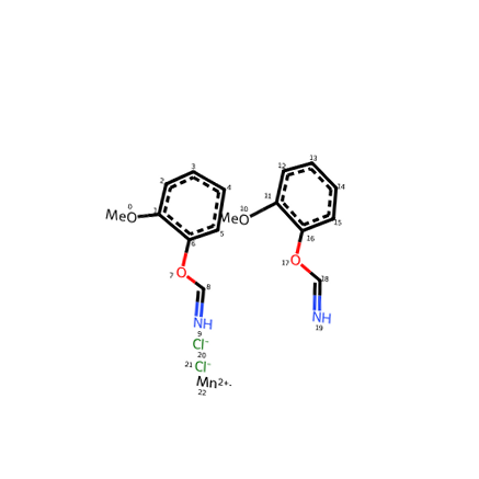 COc1ccccc1OC=N.COc1ccccc1OC=N.[Cl-].[Cl-].[Mn+2]